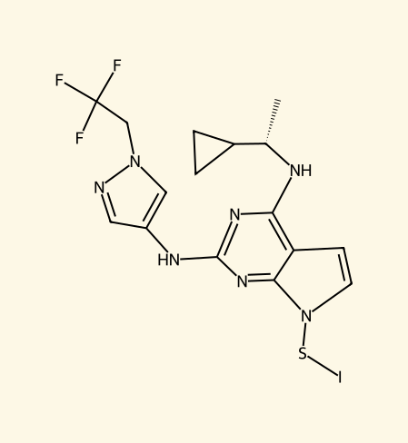 C[C@H](Nc1nc(Nc2cnn(CC(F)(F)F)c2)nc2c1ccn2SI)C1CC1